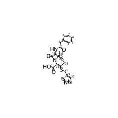 O=C(Cc1ccccc1)N[C@@H]1C(=O)N2C(C(=O)O)=C(SCc3cnns3)CS[C@H]12